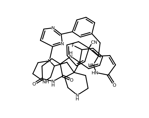 N#CC1(C2(Cc3cccc(-c4nccc(N5CCNCC5CC5(C6(NC7CCC(=O)NC7=O)C=CC=CC6F)CCNCC5)n4)c3)C=CC(=O)NN2)C=CC=CC1